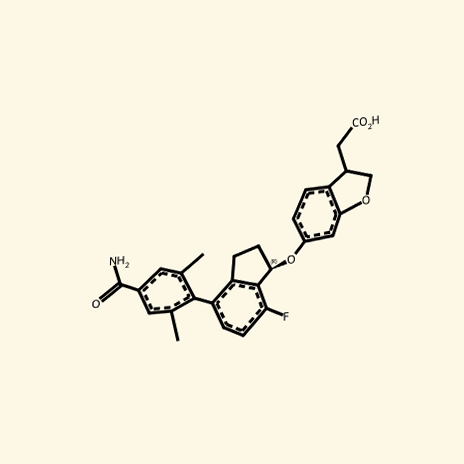 Cc1cc(C(N)=O)cc(C)c1-c1ccc(F)c2c1CC[C@H]2Oc1ccc2c(c1)OCC2CC(=O)O